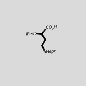 CCCCCCCCCC(C(=O)O)C(C)CCC